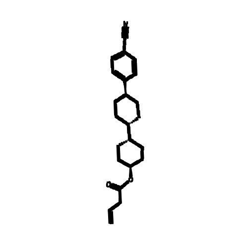 C=CCC(=O)O[C@H]1CC[C@H]([C@H]2CC[C@H](c3ccc(C#N)cc3)CC2)CC1